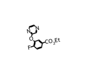 CCOC(=O)c1ccc(F)c(Oc2cnccn2)c1